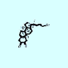 CC(C)CCC[C@@H](C)[C@H]1CC[C@H]2[C@@H]3CC=C4CC(=O)C(=O)C[C@]4(C)[C@H]3CC[C@]12C